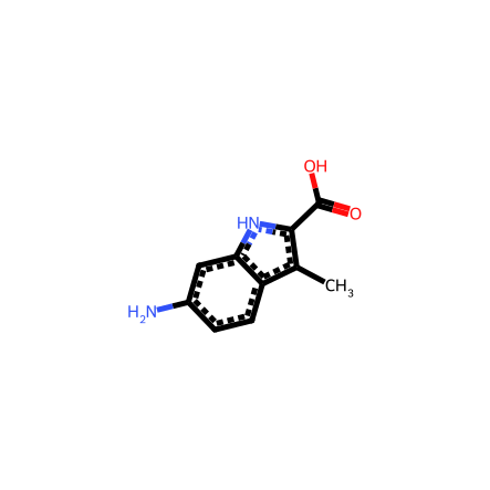 Cc1c(C(=O)O)[nH]c2cc(N)ccc12